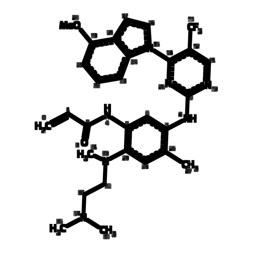 C=CC(=O)Nc1cc(Nc2ncc(C(F)(F)F)c(-n3ccc4c(OC)cccc43)n2)c(C)cc1N(C)CCN(C)C